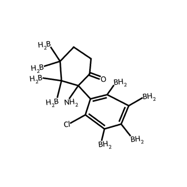 Bc1c(B)c(B)c(C2(N)C(=O)CCC(B)(B)C2(B)B)c(Cl)c1B